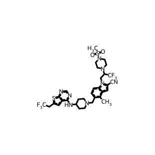 Cc1c(CN2CCC(Nc3ncnc4sc(CC(F)(F)F)cc34)CC2)ccc2c1cc(C#N)n2CC(N1CCN(S(C)(=O)=O)CC1)C(F)(F)F